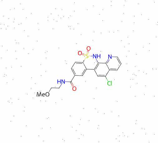 COCCNC(=O)c1ccc2c(c1)-c1cc(Cl)c3cccnc3c1NS2(=O)=O